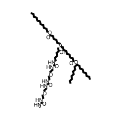 CCCCCCCCCCCOC(=O)CCCCCN(CCCCCCCC(=O)OC(CCCCCCCC)CCCCCCCC)CC(O)CCCCNC(=O)NCCOCCNC(=O)NCCOCCNC(=O)NC